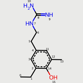 CCc1cc(CCNC(=N)N)cc(C)c1O